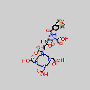 CC(C)(C)[SH](=O)(c1ccc(C(=O)NC[C@@H](NC(=O)CC[C@@H](C(=O)O)N2CCN(CC(=O)O)CCN(CC(=O)O)CCN(CC(=O)O)CC2)C(=O)N[C@@H](C=O)CO)cc1)C(C)(C)C